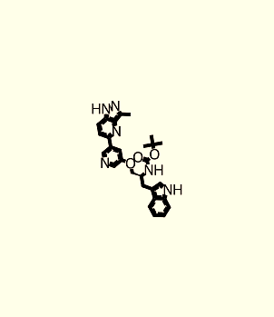 Cc1n[nH]c2ccc(-c3cncc(OC[C@H](Cc4c[nH]c5ccccc45)NC(=O)OC(C)(C)C)c3)nc12